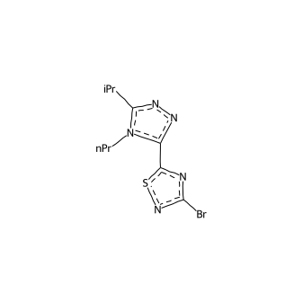 CCCn1c(-c2nc(Br)ns2)nnc1C(C)C